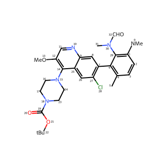 CNc1ccc(C)c(-c2cc3ncc(OC)c(N4CCN(C(=O)OC(C)(C)C)CC4)c3cc2Cl)c1N(C)C=O